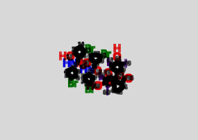 O=C(Nc1ccc(Br)cc1)c1cc(Br)ccc1O.O=C(Nc1ccc(Br)cc1)c1cc(Br)ccc1O.O=C1OC2(c3ccccc31)c1cc(I)c(O)c(I)c1Oc1c2cc(I)c(O)c1I